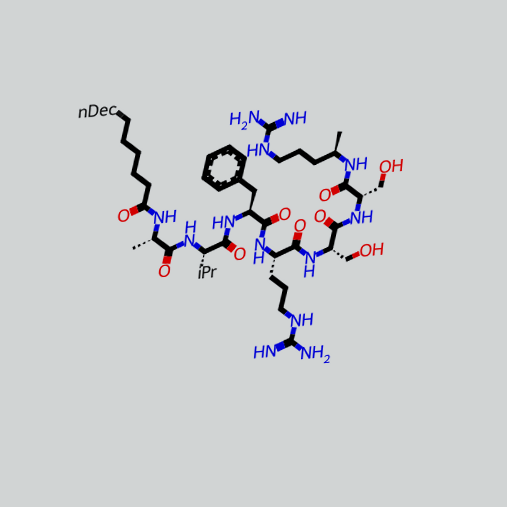 CCCCCCCCCCCCCCCC(=O)N[C@@H](C)C(=O)N[C@H](C(=O)N[C@@H](Cc1ccccc1)C(=O)N[C@@H](CCCNC(=N)N)C(=O)N[C@@H](CO)C(=O)N[C@@H](CO)C(=O)N[C@H](C)CCCNC(=N)N)C(C)C